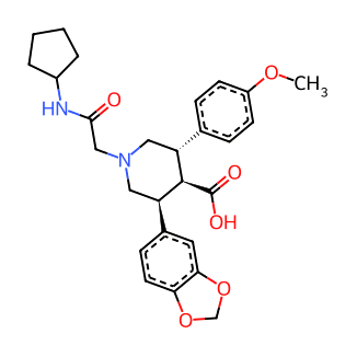 COc1ccc([C@H]2CN(CC(=O)NC3CCCC3)C[C@H](c3ccc4c(c3)OCO4)[C@@H]2C(=O)O)cc1